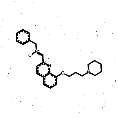 [O-]/[N+](=C\c1ccc2cccc(OCCCN3CCCCC3)c2n1)Cc1ccccc1